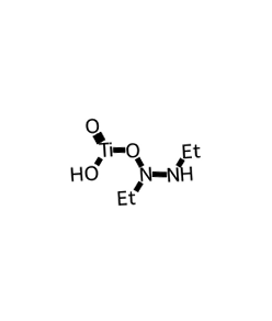 CCNN(CC)[O][Ti](=[O])[OH]